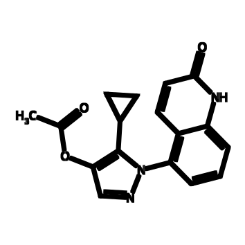 CC(=O)Oc1cnn(-c2cccc3[nH]c(=O)ccc23)c1C1CC1